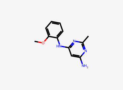 COc1ccccc1Nc1cc(N)nc(C)n1